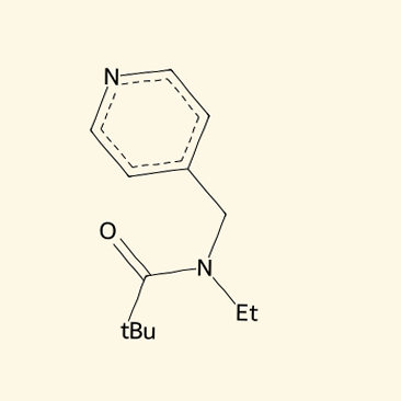 CCN(Cc1ccncc1)C(=O)C(C)(C)C